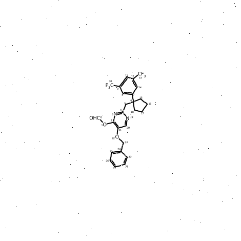 O=COc1nc(CC2(c3cc(C(F)(F)F)cc(C(F)(F)F)c3)CCCC2)ncc1OCc1ccccc1